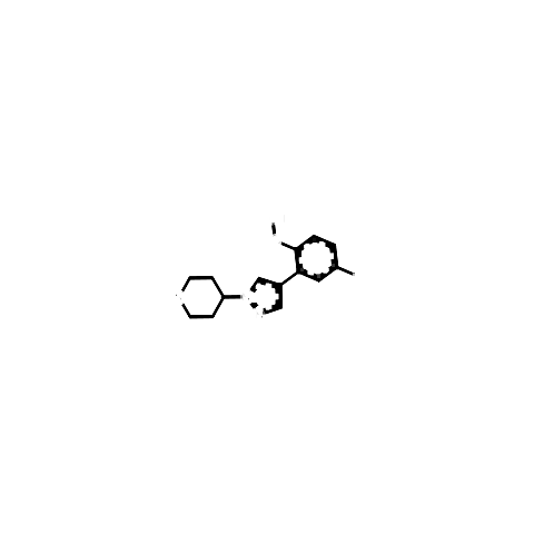 COc1ccc(F)cc1-c1cnn(C2CC[N]CC2)c1